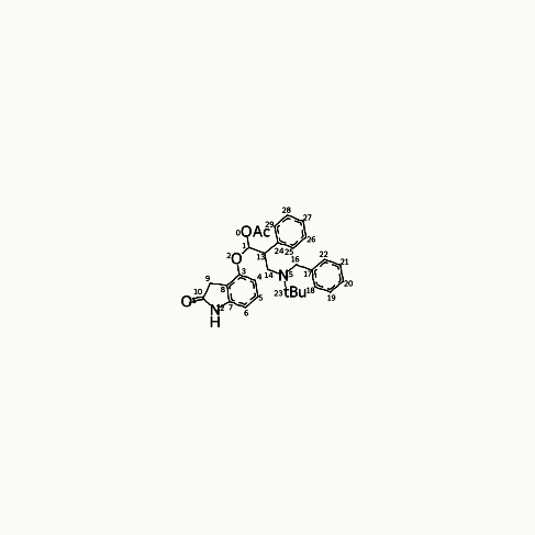 CC(=O)OC(Oc1cccc2c1CC(=O)N2)C(CN(Cc1ccccc1)C(C)(C)C)c1ccccc1